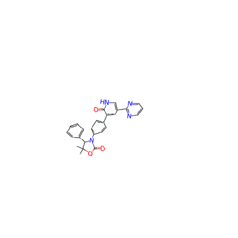 CC1(C)OC(=O)N(c2ccc(-c3cc(-c4ncccn4)c[nH]c3=O)cc2)C1c1ccccc1